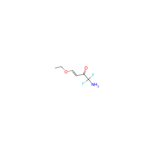 CCO/C=C/C(=O)C(N)(F)F